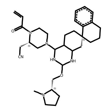 C=CC(=O)N1CCN(C2NC(OC[C@@H]3CCCN3C)NC3C[C@]4(CCCc5ccccc54)CCC32)C[C@@H]1CC#N